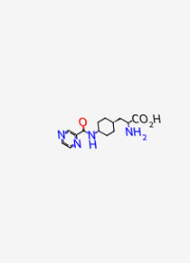 N[C@@H](C[C@H]1CC[C@@H](NC(=O)c2cnccn2)CC1)C(=O)O